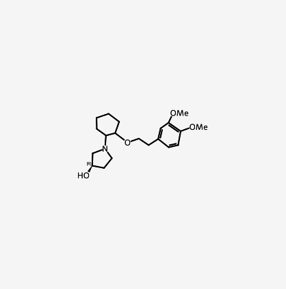 COc1ccc(CCOC2CCCCC2N2CC[C@@H](O)C2)cc1OC